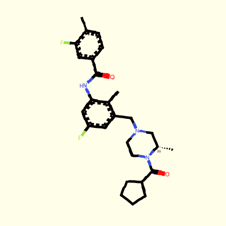 Cc1ccc(C(=O)Nc2cc(F)cc(CN3CCN(C(=O)C4CCCC4)[C@@H](C)C3)c2C)cc1F